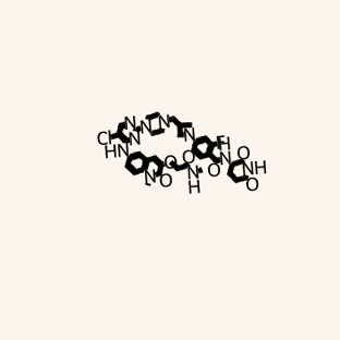 CNC(=O)COc1cc2cc(Nc3nc(N4CCN(CC5CN(c6ccc(C(=O)NC7CCC(=O)NC7=O)c(F)c6)C5)CC4)ncc3Cl)ccc2n(C)c1=O